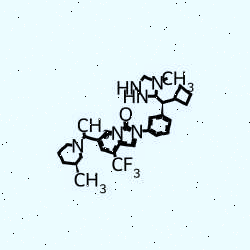 CC(c1cc(C(F)(F)F)c2cn(-c3cccc([C@H](C4CCC4)C4NNCN4C)c3)c(=O)n2c1)N1CCC[C@H](C)C1